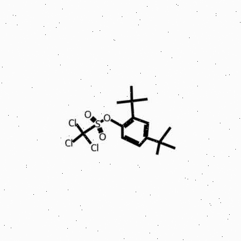 CC(C)(C)c1ccc(OS(=O)(=O)C(Cl)(Cl)Cl)c(C(C)(C)C)c1